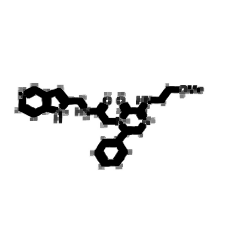 COCCNc1ncc(-c2ccccc2)n(CC(=O)NCc2cc3cnccc3[nH]2)c1=O